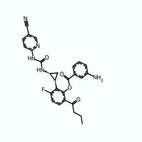 CCCC(=O)c1ccc(F)c([C@@H]2C[C@@H]2NC(=O)Nc2ccc(C#N)cn2)c1OC(=O)c1cccc(N)c1